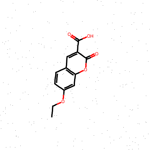 CCOc1ccc2cc(C(=O)O)c(=O)oc2c1